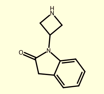 O=C1Cc2ccccc2N1C1CNC1